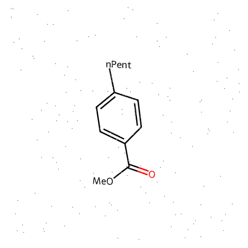 CCC[CH]Cc1ccc(C(=O)OC)cc1